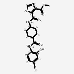 COC(=O)c1ncoc1C(=O)NC1CCC(C(=O)Nc2ccc(F)cc2Cl)CC1